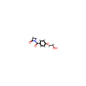 O=C1CCN1C(=O)c1ccc(OCCO)cc1